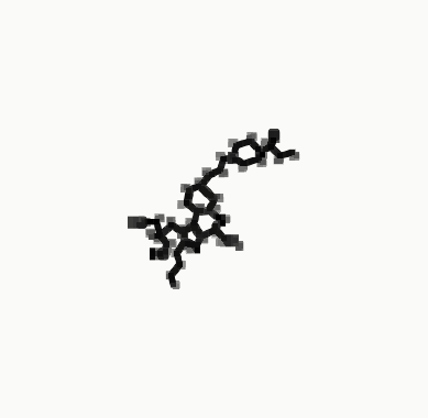 CCCCc1nc2c(N)nc3cc(CCCN4CCN(C(=O)CC)CC4)ccc3c2n1CC(C)(CO)CO